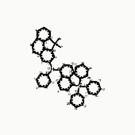 CC1(C)c2cccc3ccc4cc(N(c5ccccc5)c5cccc6c([Si](c7ccccc7)(c7ccccc7)c7ccccc7)cccc56)cc1c4c23